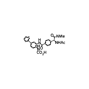 CNC(=O)C(NC(C)=O)c1ccc(C(=O)Nc2cc(-c3cccs3)ccc2NC(=O)O)cc1